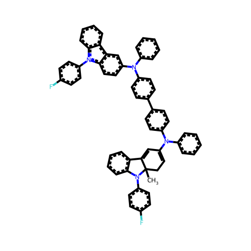 CC12CC=C(N(c3ccccc3)c3ccc(-c4ccc(N(c5ccccc5)c5ccc6c(c5)c5ccccc5n6-c5ccc(F)cc5)cc4)cc3)C=C1c1ccccc1N2c1ccc(F)cc1